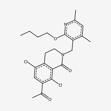 CCCCOc1nc(C)cc(C)c1CN1CCc2c(Cl)cc(C(C)=O)c(Cl)c2C1=O